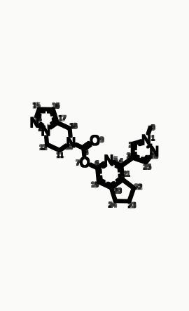 Cn1cc(-c2nc(OC(=O)N3CCn4nccc4C3)cc3c2CCC3)cn1